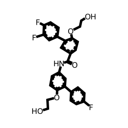 O=C(Nc1ccc(OCCO)c(-c2ccc(F)cc2)c1)c1ccc(OCCO)c(-c2ccc(F)c(F)c2)c1